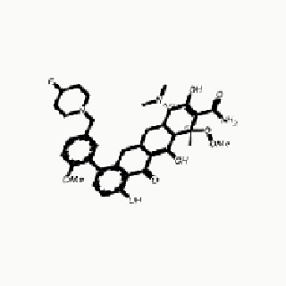 COO[C@@]1(C)C(C(N)=O)=C(O)[C@@H](N(C)C)C2CC3Cc4c(-c5cc(CN6CCC(F)CC6)ccc5OC)ccc(O)c4C(=O)C3=C(O)C21